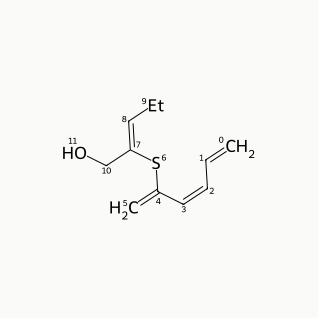 C=C/C=C\C(=C)S/C(=C\CC)CO